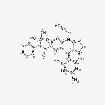 C#CCN(c1ccc(C(=O)C(c2ccccn2)S(C)(=O)=O)nc1)C1CCc2cc3nc(C)[nH]c(=O)c3cc21